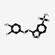 NS(=O)(=O)c1ccc2nsc(N=Nc3ccc(O)c(Cl)c3)c2c1